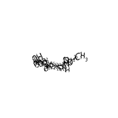 CCCCOC(=O)NCc1cccc(C2CCN(C(=O)c3cccc(OCC(=O)O)c3)CC2)c1